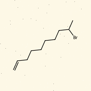 C=CCCCCCCC(C)Br